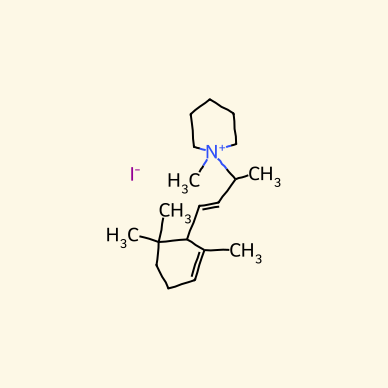 CC1=CCCC(C)(C)C1C=CC(C)[N+]1(C)CCCCC1.[I-]